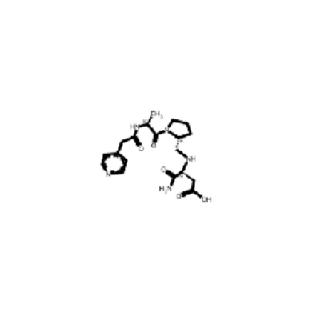 C[C@H](NC(=O)Cc1ccncc1)C(=O)N1CCC[C@@H]1CN[C@@H](CC(=O)O)C(N)=O